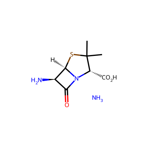 CC1(C)S[C@@H]2[C@H](N)C(=O)N2[C@H]1C(=O)O.N